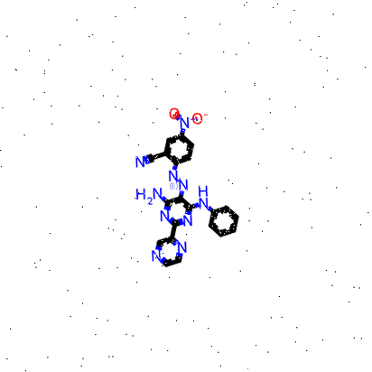 N#Cc1cc([N+](=O)[O-])ccc1/N=N/c1c(N)nc(-c2cnccn2)nc1Nc1ccccc1